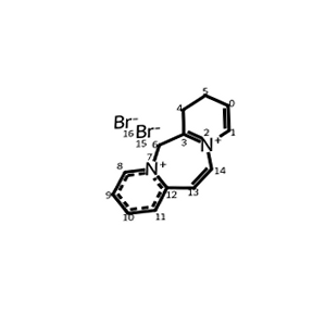 C1=C[N+]2=C(CC1)C[n+]1ccccc1C=C2.[Br-].[Br-]